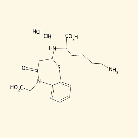 Cl.Cl.NCCCCC(NC1CC(=O)N(CC(=O)O)c2ccccc2S1)C(=O)O